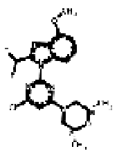 COc1cccc2c1nc(C(F)F)n2-c1nc(Cl)cc(N2C[C@@H](C)O[C@@H](C)C2)n1